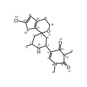 CC1CC2(CC(c3cn(C)c(=O)n(C)c3=O)N1)OCCc1cc(Cl)sc12